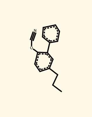 CCCc1ccc(OC#N)c(-c2ccccc2)c1